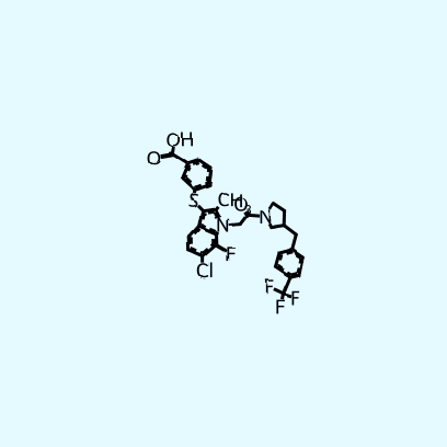 Cc1c(Sc2cccc(C(=O)O)c2)c2ccc(Cl)c(F)c2n1CC(=O)N1CCC(Cc2ccc(C(F)(F)F)cc2)C1